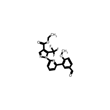 CCOC(=O)c1cnn(-c2cccc(-c3cc(C=O)ccc3OC)n2)c1C(F)(F)F